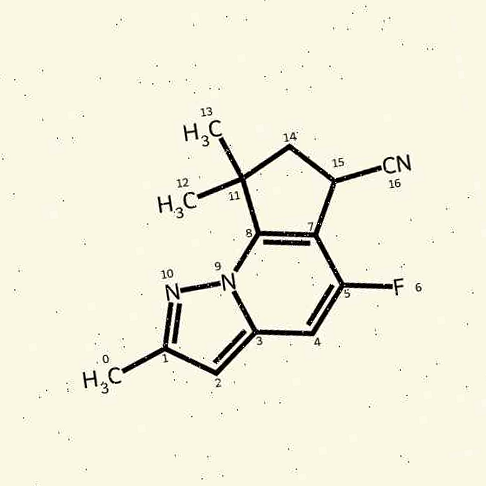 Cc1cc2cc(F)c3c(n2n1)C(C)(C)CC3C#N